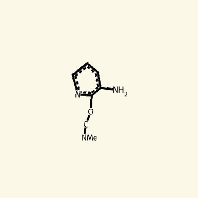 CNCOc1ncccc1N